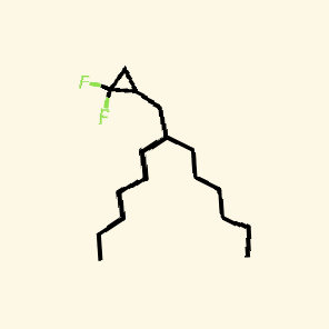 CCCCCCC(CCCCCC)CC1CC1(F)F